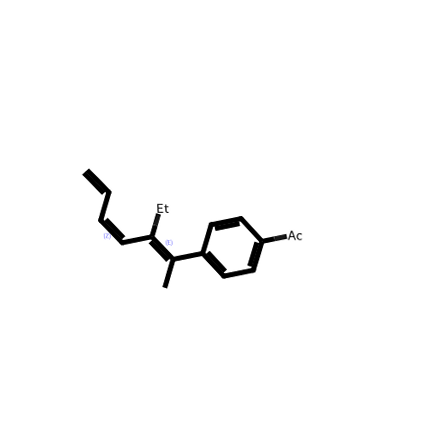 C=C/C=C\C(CC)=C(/C)c1ccc(C(C)=O)cc1